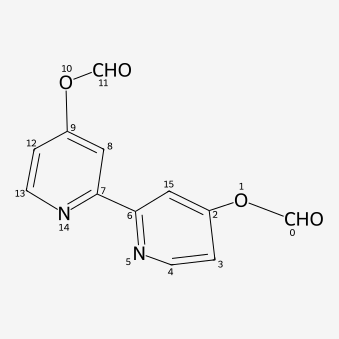 O=COc1ccnc(-c2cc(OC=O)ccn2)c1